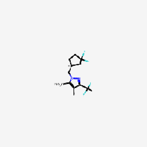 CCOC(=O)c1c(C)c(C(C)(F)F)nn1C[C@H]1CCC(F)(F)C1